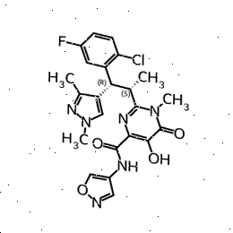 Cc1nn(C)cc1[C@H](c1cc(F)ccc1Cl)[C@H](C)c1nc(C(=O)Nc2cnoc2)c(O)c(=O)n1C